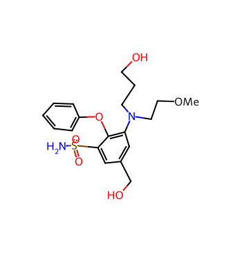 COCCN(CCCO)c1cc(CO)cc(S(N)(=O)=O)c1Oc1ccccc1